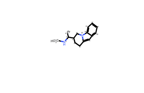 CC(C)C(NC(=O)O)C1CCc2cc3ccccc3n2C1